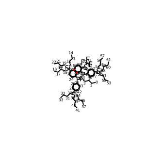 CCCCN(P(c1ccc([Si](CCCC)(CCCC)CCCC)cc1)c1ccc([Si](CCCC)(CCCC)CCCC)cc1)P(c1ccc([Si](CCCC)(CCCC)CCCC)cc1)c1ccccc1SC(F)(F)F